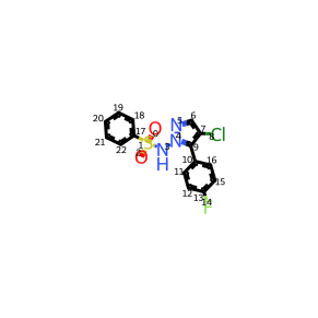 O=S(=O)(Nn1ncc(Cl)c1-c1ccc(F)cc1)c1ccccc1